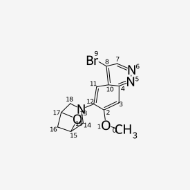 COc1cc2nncc(Br)c2cc1N1CC2CC(C1)O2